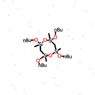 CCCCO[Si]1(C)C[Si](C)(OCCCC)O[Si](C)(OCCCC)C[Si](C)(OCCCC)O1